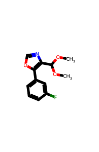 COC(OC)c1ncoc1-c1cccc(F)c1